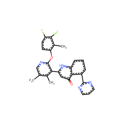 Cc1c(Oc2ncc(C(F)(F)F)c(C)c2-c2cc(=O)c3c(-c4ncccn4)cccc3[nH]2)ccc(F)c1F